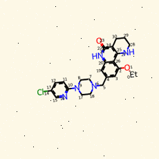 CCOc1cc(CN2CCN(c3ccc(Cl)cn3)CC2)cc2[nH]c(=O)c3c(c12)NCCC3